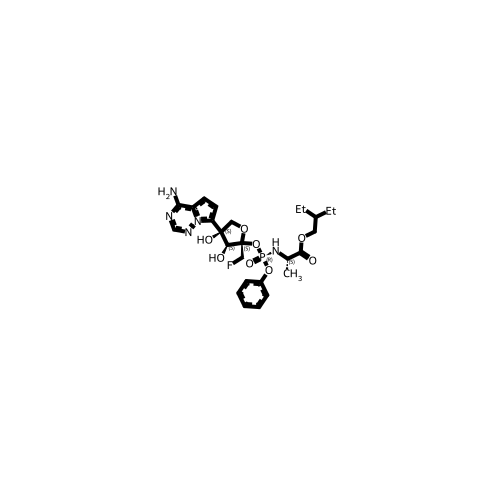 CCC(CC)COC(=O)[C@H](C)N[P@@](=O)(Oc1ccccc1)O[C@@]1(CF)OC[C@@](O)(c2ccc3c(N)ncnn23)[C@@H]1O